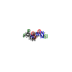 O=C(c1cnc(Cl)cn1)N1CCC2(CC1)O[C@@H]1CC[C@@H](c3cc(F)cc(F)c3)N1C2=O